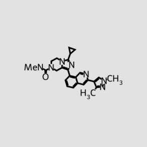 CNC(=O)N1CCn2c(C3CC3)nc(-c3cccc4cc(-c5cn(C)nc5C)ncc34)c2C1